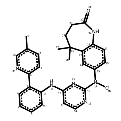 Cc1ccc(-c2ccccc2Nc2ccnc(N(Cl)c3ccc4c(c3)C(C)(C)CCC(=O)N4)n2)nc1